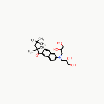 CC(C)(C)CC(C)(C)C(=O)c1ccc2cc(N(CC(O)CO)CC(O)CO)ccc2c1